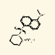 CN(C)c1cccc2c(S(=O)(=O)N3CCCC[C@H]3C(=O)O)cccc12